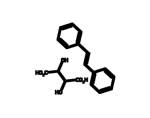 C(=Cc1ccccc1)c1ccccc1.O=C(O)C(O)C(O)C(=O)O